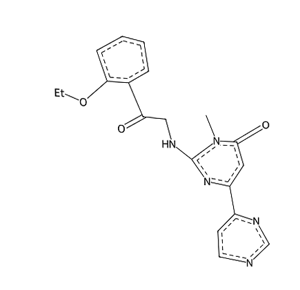 CCOc1ccccc1C(=O)CNc1nc(-c2ccncn2)cc(=O)n1C